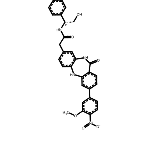 COc1cc(-c2ccc3c(c2)Nc2ccc(CC(=O)N[C@@H](CO)c4ccccc4)cc2NC3=O)ccc1[N+](=O)[O-]